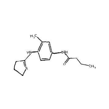 CCCC(=O)Nc1ccc(NC2=NCCC2)c(C)c1